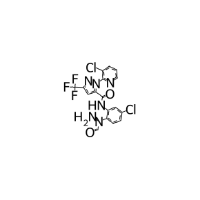 NN(C=O)c1ccc(Cl)cc1NC(=O)c1cc(C(F)(F)F)nn1-c1ncccc1Cl